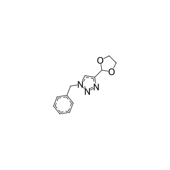 c1ccc(Cn2cc(C3OCCO3)nn2)cc1